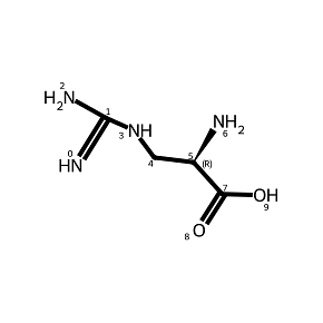 N=C(N)NC[C@@H](N)C(=O)O